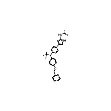 CC(=O)Nc1nc(-c2ccc(C(c3ccc(OCc4ccccn4)cc3)C(C)(C)C)cc2)c[nH]1